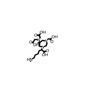 CNCCCCC(C(=O)O)N1CCN(CC(=O)O)CC(C)(N(CC(=O)O)CC(=O)O)C1